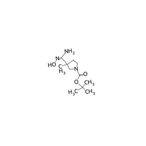 CC(C)(C)OC(=O)N1CCC(C)(/C(N)=N\O)C1